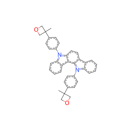 CC1(c2ccc(-n3c4ccccc4c4c3ccc3c5ccccc5n(-c5ccc(C6(C)COC6)cc5)c34)cc2)COC1